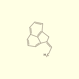 CC=C1Cc2cccc3cccc1c23